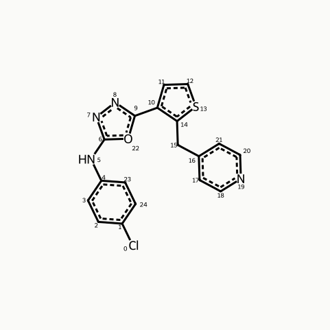 Clc1ccc(Nc2nnc(-c3ccsc3Cc3ccncc3)o2)cc1